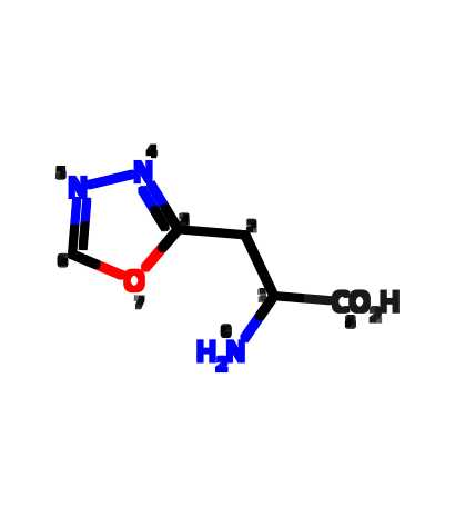 NC(Cc1nnco1)C(=O)O